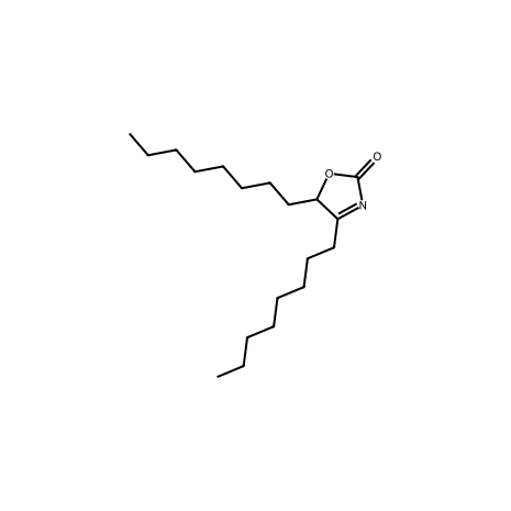 CCCCCCCCC1=NC(=O)OC1CCCCCCCC